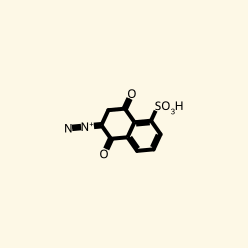 [N-]=[N+]=C1CC(=O)c2c(cccc2S(=O)(=O)O)C1=O